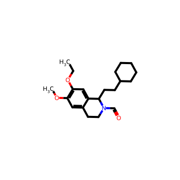 CCOc1cc2c(cc1OC)CCN(C=O)C2CCC1CCCCC1